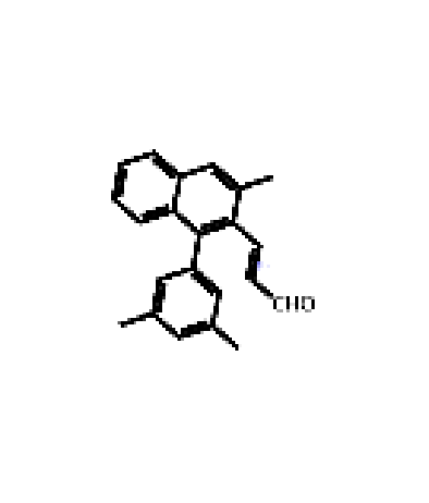 Cc1cc(C)cc(-c2c(/C=C/C=O)c(C)cc3ccccc23)c1